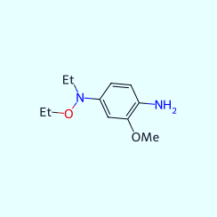 CCON(CC)c1ccc(N)c(OC)c1